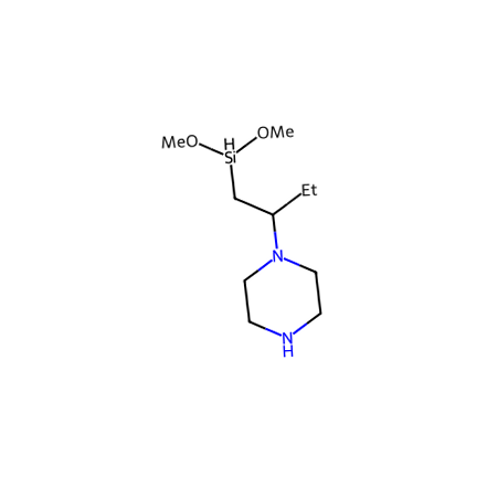 CCC(C[SiH](OC)OC)N1CCNCC1